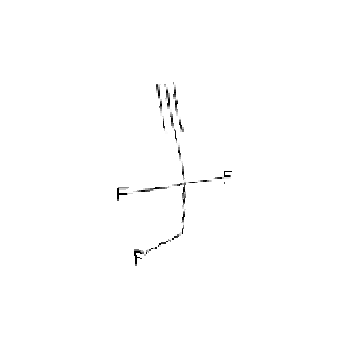 [C]#CC(F)(F)CF